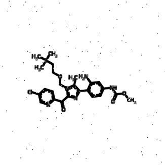 COC(=O)Nc1ccc(-c2nc(C(=O)c3ccc(Cl)cn3)n(COCCS(C)(C)C)c2C)c(N)c1